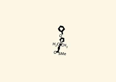 CSC(=O)C#CC(C)(C)N1CC[C@@H](OCc2ccccc2)C1